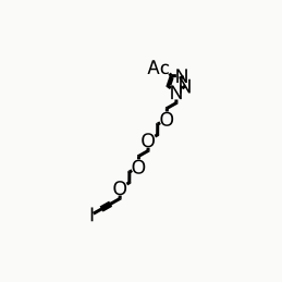 CC(=O)c1cn(CCOCCOCCOCCOCC#CI)nn1